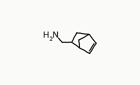 NCC1CC2C=CC1C2